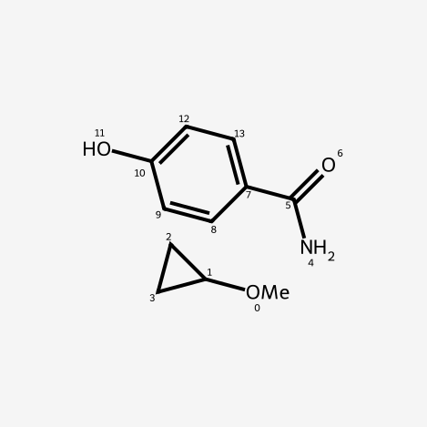 COC1CC1.NC(=O)c1ccc(O)cc1